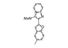 CNc1c(-c2cc3cc(C)ccc3o2)nc2ccccn12